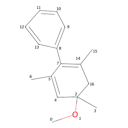 COC1(C)C=C(C)C(c2ccccc2)=C(C)C1